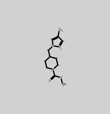 CCCCOC(=O)N1CCC(Cn2cc(C)cn2)CC1